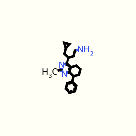 Cc1nc(C(CCN)CC2CC2)c2c(n1)C(c1ccccc1)CCC2